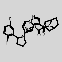 CC(C)(C)OC(=O)N1CC2CCC(C1)N2C(=O)c1cnn2ccc(N3CCCC3c3cc(F)ccc3F)cc12